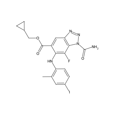 Cc1cc(I)ccc1Nc1c(C(=O)OCC2CC2)cc2nnn(C(N)=O)c2c1F